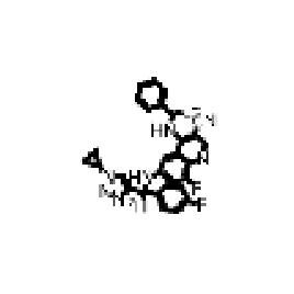 [2H]C(Nc1cc(F)c2ncc(C#N)c(NC(CC)c3ccccc3)c2c1)(c1ccc(F)cc1)c1cn(C2CC2)nn1